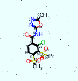 Cc1nnc(NC(=O)c2ccc(S(C)(=O)=O)c(S(=O)(=O)C(C)C)c2Cl)o1